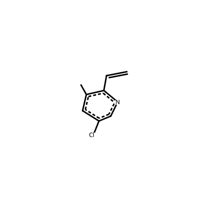 C=Cc1ncc(Cl)cc1C